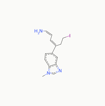 Cn1cnc2cc(/C(=C/C=C\N)CCI)ccc21